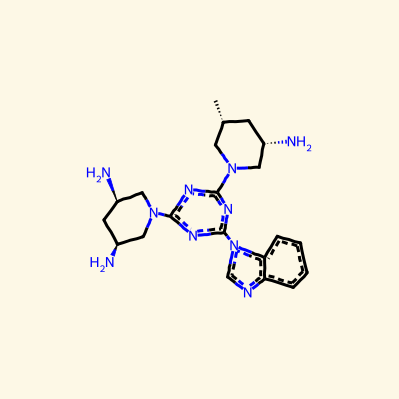 C[C@@H]1C[C@H](N)CN(c2nc(N3C[C@H](N)C[C@H](N)C3)nc(-n3cnc4ccccc43)n2)C1